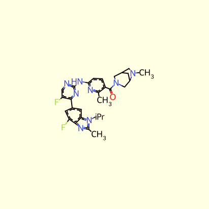 Cc1nc(Nc2ncc(F)c(-c3cc(F)c4nc(C)n(C(C)C)c4c3)n2)ccc1C(=O)N1CC2CC(C1)N(C)C2